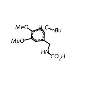 CCCCC.COc1ccc(CNC(=O)O)cc1OC